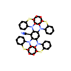 N#Cc1c(N2c3ccccc3Sc3ccccc32)c(N2c3ccccc3Sc3ccccc32)cc(N2c3ccccc3Sc3ccccc32)c1N1c2ccccc2Sc2ccccc21